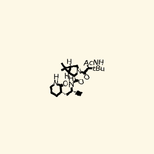 C#C[C@H](C[C@@H]1CCCNC1=O)NC(=O)[C@@H]1[C@@H]2[C@H](CN1C(=O)[C@@H](NC(C)=O)C(C)(C)C)C2(C)C